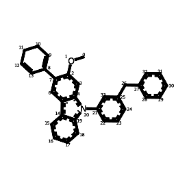 COc1cc2c(cc1C1=CCCC=C1)c1ccccc1n2-c1cccc(Cc2ccccc2)c1